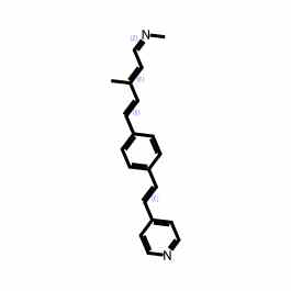 C\N=C/C=C(C)/C=C/c1ccc(/C=C/c2ccncc2)cc1